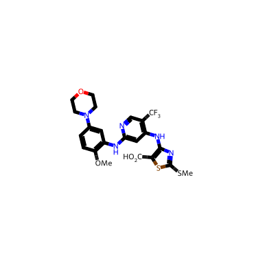 COc1ccc(N2CCOCC2)cc1Nc1cc(Nc2nc(SC)sc2C(=O)O)c(C(F)(F)F)cn1